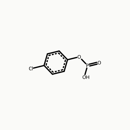 O=[P](O)Oc1ccc(Cl)cc1